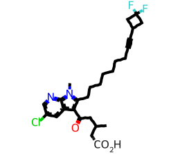 CC(CC(=O)O)CC(=O)c1c(CCCCCCCC#CC2CC(F)(F)C2)n(C)c2ncc(Cl)cc12